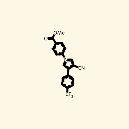 COC(=O)c1ccc(-n2cc(C#N)c(-c3ccc(C(F)(F)F)cc3)c2)cc1